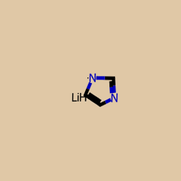 C1=CN=C[N]1.[LiH]